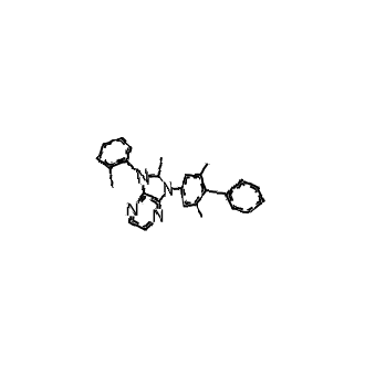 Cc1ccccc1N1c2nccnc2N(c2cc(C)c(-c3ccccc3)c(C)c2)C1C